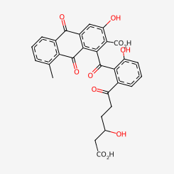 Cc1cccc2c1C(=O)c1c(cc(O)c(C(=O)O)c1C(=O)c1c(O)cccc1C(=O)CCC(O)CC(=O)O)C2=O